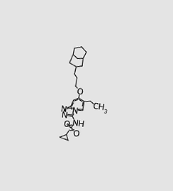 CCc1cn2c(NS(=O)(=O)C3CC3)nnc2cc1OCCCC1CC2CCCC(C1)C2